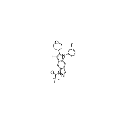 CC(C)(C)C(=O)n1ncc2cc3c(cc21)c(I)c(C1CCOCC1)n3-c1cccc(F)c1